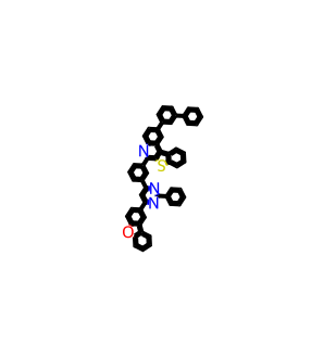 c1ccc(-c2cccc(-c3ccc4nc(-c5cccc(-c6cc(-c7ccc8oc9ccccc9c8c7)nc(-c7ccccc7)n6)c5)c5sc6ccccc6c5c4c3)c2)cc1